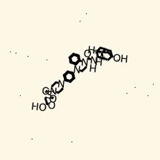 O=C(O)CS(=O)(=O)N1CCN(c2ccc(N3CCN(C(=O)NC4[C@@H]5CC6C[C@H]4CC(O)(C6)C5)c4ccccc43)cc2)CC1